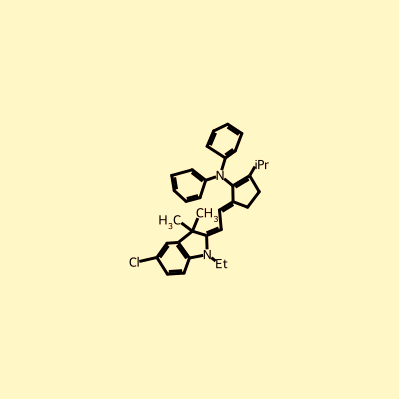 CCN1/C(=C/C=C2\CCC(C(C)C)=C2N(c2ccccc2)c2ccccc2)C(C)(C)c2cc(Cl)ccc21